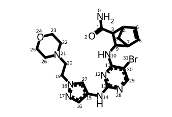 NC(=O)C1C2C=CC(C2)C1Nc1nc(Nc2cnn(CCN3CCOCC3)c2)ncc1Br